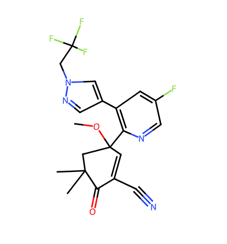 COC1(c2ncc(F)cc2-c2cnn(CC(F)(F)F)c2)C=C(C#N)C(=O)C(C)(C)C1